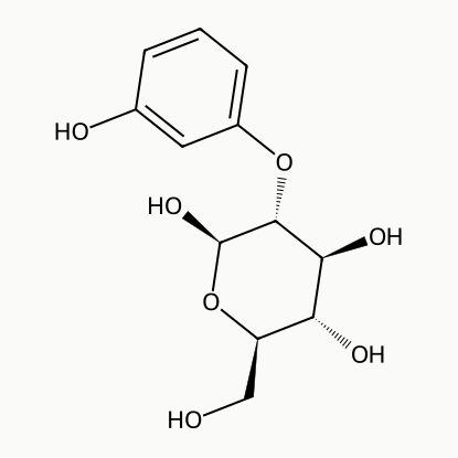 OC[C@H]1O[C@@H](O)[C@H](Oc2cccc(O)c2)[C@@H](O)[C@@H]1O